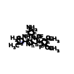 CN/C=C(\C(C)=N)c1cc2c(cn1)CN(c1c(F)c(OC)cc(OC)c1F)C(=O)N2c1ccc(N)cc1